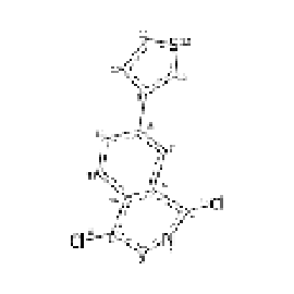 Clc1cnc(Cl)c2cc(-c3ccsc3)ccc12